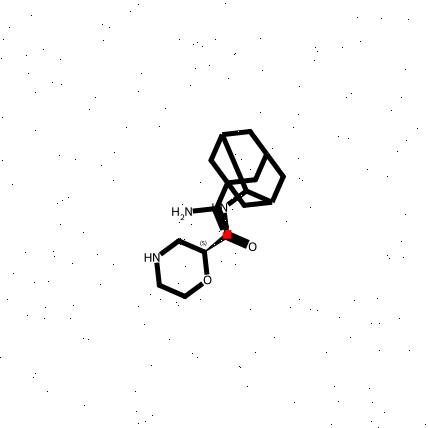 NC(=O)C12CC3CC(C1)C(NC(=O)[C@@H]1CNCCO1)C(C3)C2